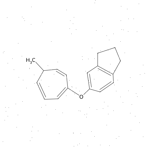 CC1C=CC=C(Oc2ccc3c(c2)CCC3)C=C1